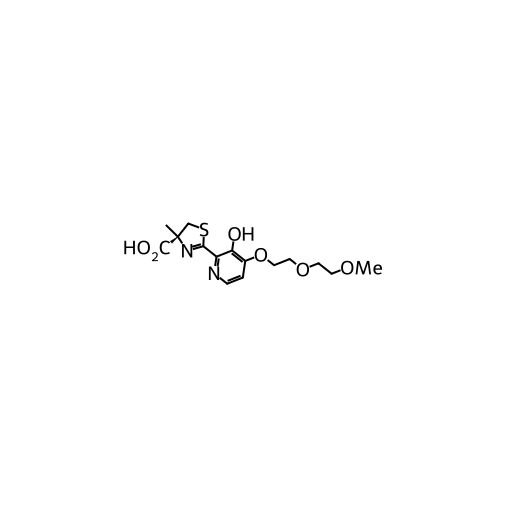 COCCOCCOc1ccnc(C2=N[C@@](C)(C(=O)O)CS2)c1O